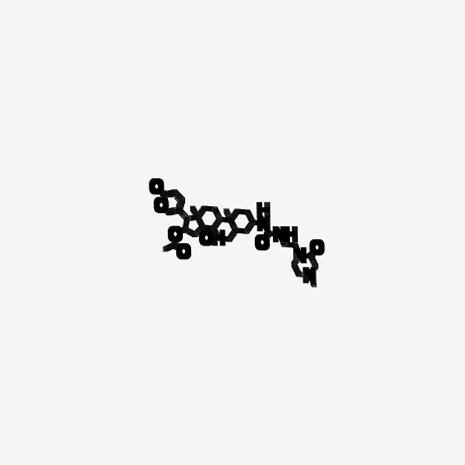 CC(=O)OC1CC2(O)C3CCC4CC(NC(=O)NCCN5CCN(C)CC5=O)CCC4(C)C3CCC2(C)C1c1ccc(=O)oc1